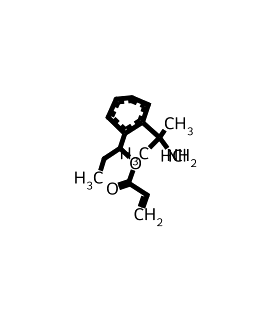 C=CC(=O)OC(CC)c1ccccc1C(C)(C)N.Cl